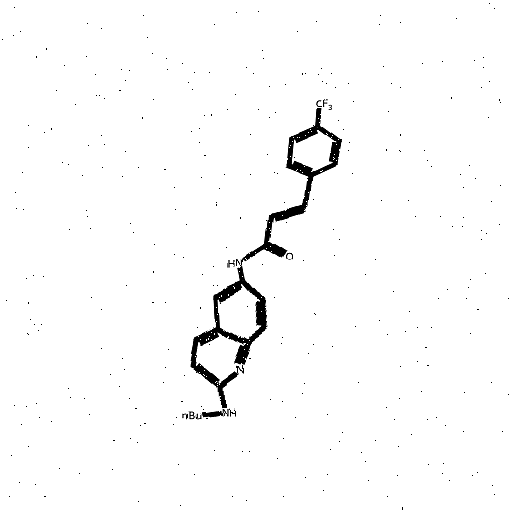 CCCCNc1ccc2cc(NC(=O)C=Cc3ccc(C(F)(F)F)cc3)ccc2n1